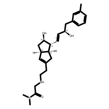 Cc1cccc(C[C@@H](O)/C=C/[C@@H]2[C@H]3CC(CCNCC(=O)N(C)C)=C[C@H]3C[C@H]2O)c1